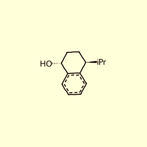 CC(C)[C@@H]1CC[C@@H](O)c2ccccc21